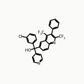 OC(c1ccncc1)(c1cccc(Cl)c1)c1ccc2nc(C(F)(F)F)c(-c3ccccc3)c(C(F)(F)F)c2c1